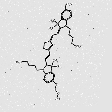 CC1(C)/C(=C\C=C2C=C(C=CC3N(CCCCS(=O)(=O)O)c4ccc(SOOO)cc4C3(C)C)CC2)N(CCCCS(=O)(=O)O)c2ccc(S(=O)(=O)O)cc21